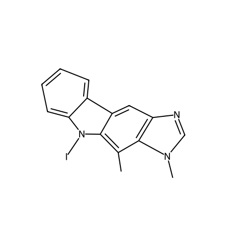 Cc1c2c(cc3c4ccccc4n(I)c13)ncn2C